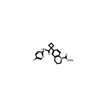 COC(=O)N1CCCc2cc(C3(C(=O)Nc4ccc(F)cn4)CCC3)ccc21